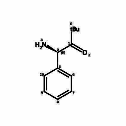 CC(C)(C)C(=O)[C@H](N)c1ccccc1